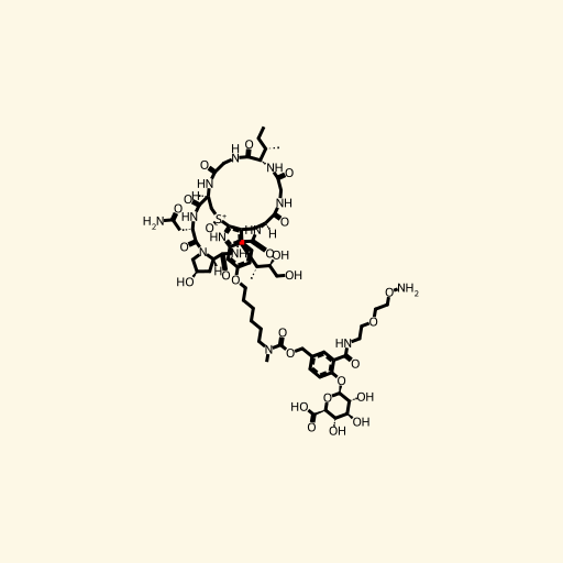 CC[C@H](C)[C@@H]1NC(=O)CNC(=O)[C@@H]2Cc3c([nH]c4cc(OCCCCCCN(C)C(=O)OCc5ccc(O[C@@H]6O[C@H](C(=O)O)[C@@H](O)[C@H](O)[C@H]6O)c(C(=O)NCCOCCON)c5)ccc34)[S+]([O-])C[C@H](NC(=O)CNC1=O)C(=O)N[C@@H](CC(N)=O)C(=O)N1C[C@H](O)C[C@H]1C(=O)N[C@@H]([C@@H](C)[C@@H](O)CO)C(=O)N2